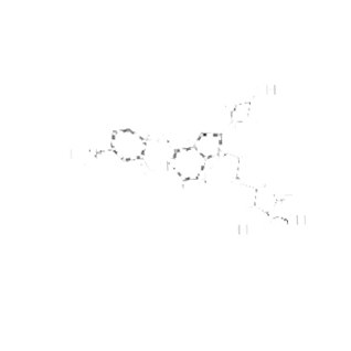 CC1OC(c2cc3c(Oc4ccc(N)cc4F)ncnc3n2COCC[Si](C)(C)C)O1